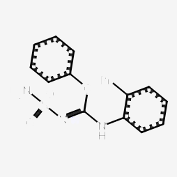 NS(=O)(=O)/N=C(/Nc1ccccc1Br)Oc1ccccc1